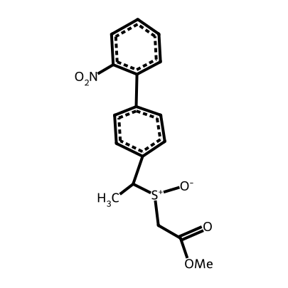 COC(=O)C[S+]([O-])C(C)c1ccc(-c2ccccc2[N+](=O)[O-])cc1